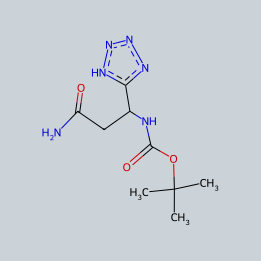 CC(C)(C)OC(=O)NC(CC(N)=O)c1nnn[nH]1